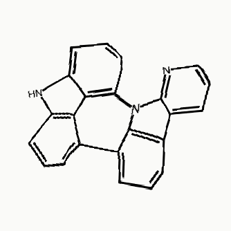 c1cc2[nH]c3cccc4c3c2c(c1)c1cccc2c3cccnc3n4c12